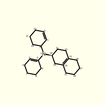 C1=CC(N(C2=CCCCC2)[C@H]2CCC3=C(CCCC3)C2)CCC1